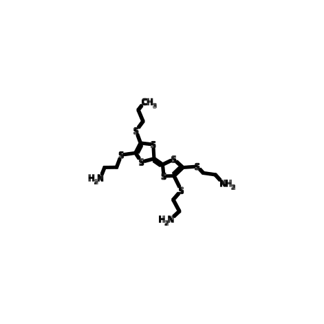 CCCSC1=C(SCCN)SC(=C2SC(SCCN)=C(SCCN)S2)S1